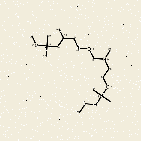 CCCC(C)(C)OCCN(C)COCCC(C)CC(C)(C)OC